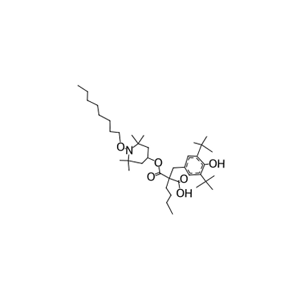 CCCCCCCCON1C(C)(C)CC(OC(=O)C(CCCC)(Cc2cc(C(C)(C)C)c(O)c(C(C)(C)C)c2)C(=O)O)CC1(C)C